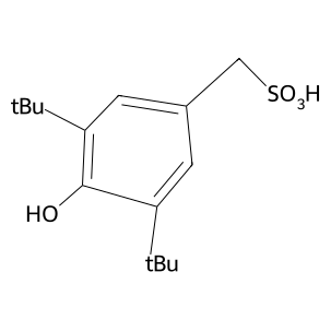 CC(C)(C)c1cc(CS(=O)(=O)O)cc(C(C)(C)C)c1O